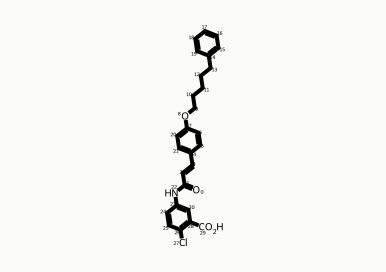 O=C(/C=C/c1ccc(OCCCCCc2ccccc2)cc1)Nc1ccc(Cl)c(C(=O)O)c1